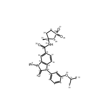 CC(C)n1c(=O)n(-c2cccc(OC(F)F)c2)c2ccc(C(=O)N[C@]3(C)CCS(=O)(=O)S3)cc21